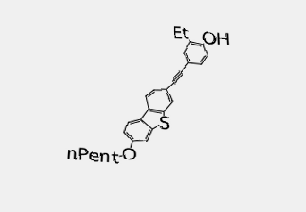 CCCCCOc1ccc2c(c1)sc1cc(C#Cc3ccc(O)c(CC)c3)ccc12